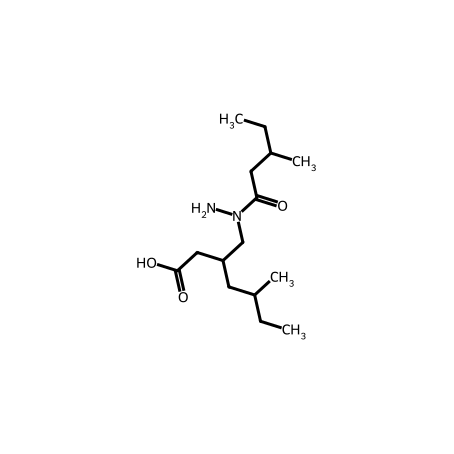 CCC(C)CC(=O)N(N)CC(CC(=O)O)CC(C)CC